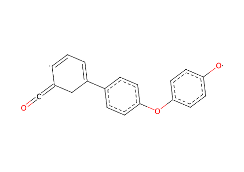 [O]c1ccc(Oc2ccc(C3=CC=[C]C(=C=O)C3)cc2)cc1